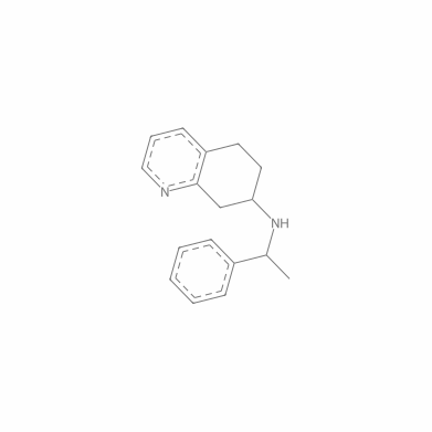 CC(NC1CCc2cccnc2C1)c1ccccc1